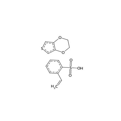 C=Cc1ccccc1S(=O)(=O)O.c1scc2c1OCCO2